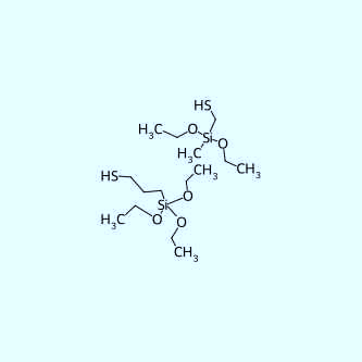 CCO[Si](C)(CS)OCC.CCO[Si](CCCS)(OCC)OCC